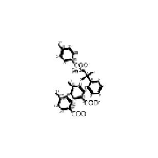 CC(C)([CH2][Sn+3])c1ccccc1.Cc1ccc(C(=O)[O-])cc1.Cc1ccc(C(=O)[O-])cc1.Cc1ccc(C(=O)[O-])cc1